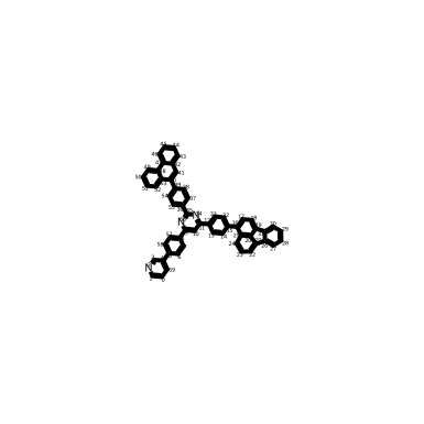 c1cncc(-c2ccc(-c3cc(-c4ccc(-c5ccc6c7c(cccc57)-c5ccccc5-6)cc4)nc(-c4ccc(-c5cc6ccccc6c6ccccc56)cc4)n3)cc2)c1